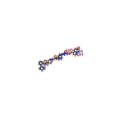 O=C(CNC[C@@H](O)c1ccc(O)c2[nH]c(=O)ccc12)NCc1ccc(NC(=O)CCN2CCC(OC(=O)Nc3ccccc3-c3ccccc3)CC2)cc1